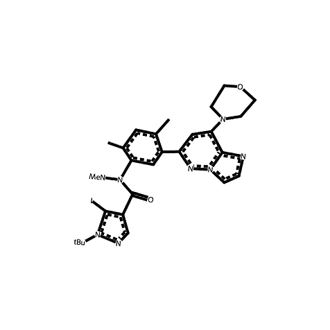 CNN(C(=O)c1cnn(C(C)(C)C)c1I)c1cc(-c2cc(N3CCOCC3)c3nccn3n2)c(C)cc1C